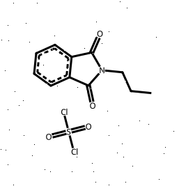 CCCN1C(=O)c2ccccc2C1=O.O=S(=O)(Cl)Cl